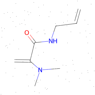 C=CCNC(=O)C(=C)N(C)C